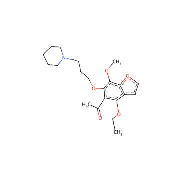 CCOc1c(C(C)=O)c(OCCCN2CCCCC2)c(OC)c2occc12